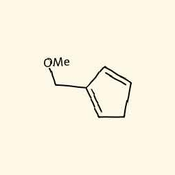 COCC1=CCC=C1